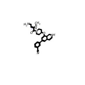 CN/C(=C\CN)C(=O)N1CCC(OC2=CC(c3cccc(C#N)c3)=CC3C=CNCC23)CC1